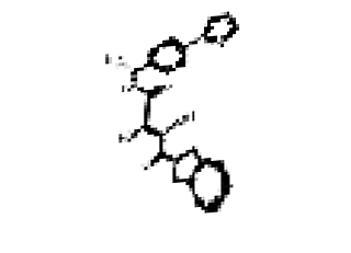 C[C@@H](NC(=O)[C@H](O)[C@@H](O)C(=O)N1Cc2ccccc2C1)c1ccc(-n2cncn2)cc1